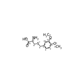 COc1ccc(CSCC(N)C(=O)O)cc1OC